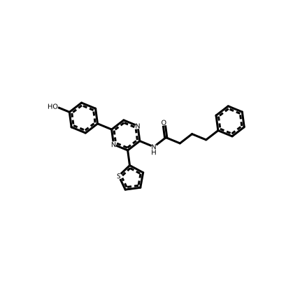 O=C(CCCc1ccccc1)Nc1ncc(-c2ccc(O)cc2)nc1-c1cccs1